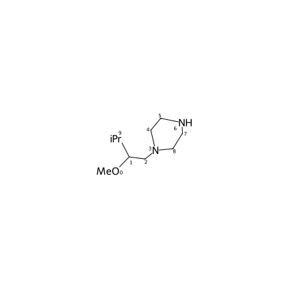 COC(CN1CCNCC1)C(C)C